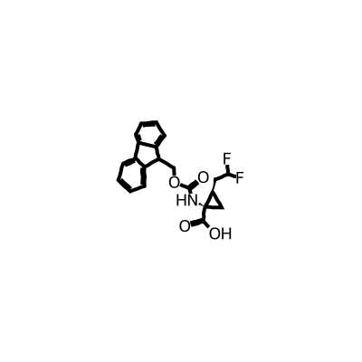 O=C(N[C@@]1(C(=O)O)C[C@@H]1CC(F)F)OCC1c2ccccc2-c2ccccc21